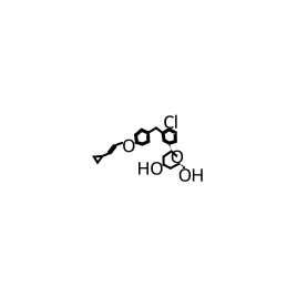 OC[C@@H]1C[C@H](O)C[C@H](c2ccc(Cl)c(Cc3ccc(OCC#CC4CC4)cc3)c2)O1